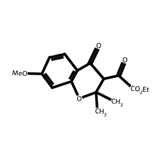 CCOC(=O)C(=O)C1C(=O)c2ccc(OC)cc2OC1(C)C